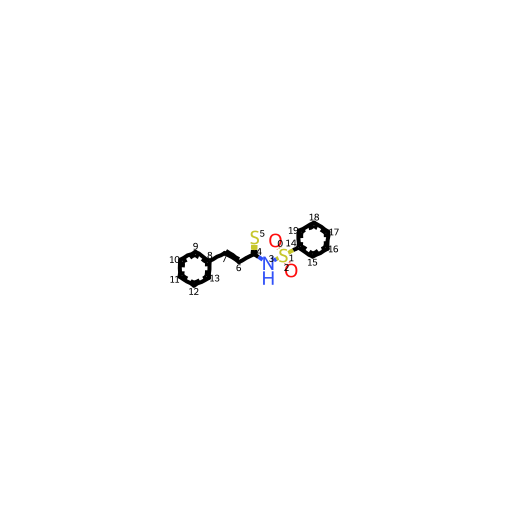 O=S(=O)(NC(=S)C=Cc1ccccc1)c1ccccc1